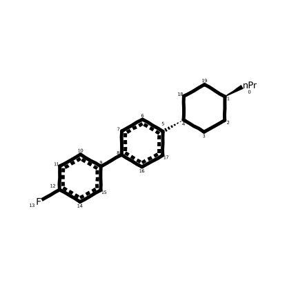 CCC[C@H]1CC[C@H](c2ccc(-c3ccc(F)cc3)cc2)CC1